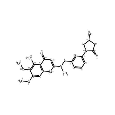 COc1cc2[nH]c(N(C)Cc3cccc(N4C[C@@H](O)CC4=O)c3)nc(=O)c2c(C)c1OC